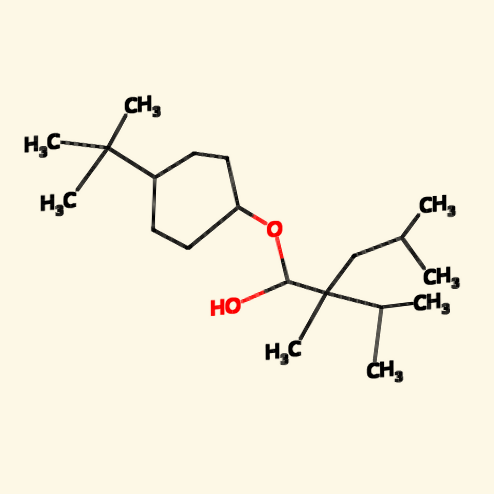 CC(C)CC(C)(C(C)C)C(O)OC1CCC(C(C)(C)C)CC1